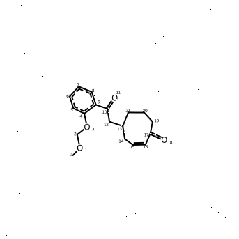 COCOc1ccccc1C(=O)CC1CC=CC(=O)CCC1